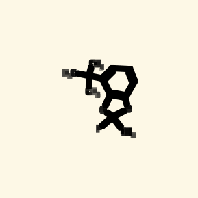 CC1(F)Oc2cccc(C(C)(C)C)c2O1